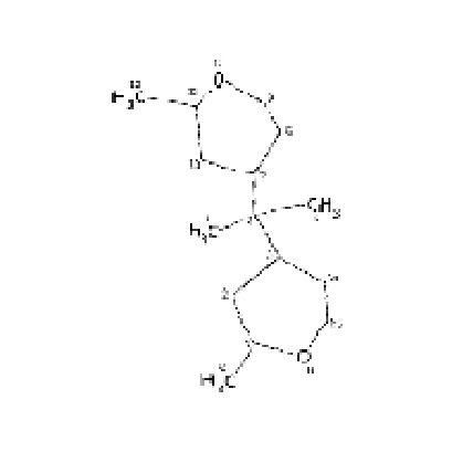 CC1CC(C(C)(C)C2CCOC(C)C2)CCO1